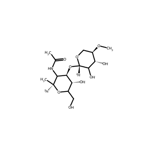 [2H][C@@]1(O[C@@H]2C(NC(C)=O)[C@]([2H])(C)OC(CO)[C@H]2O)OC[C@@H](OC)[C@H](O)C1O